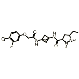 CCC1CC(C(=O)NC23CC(NC(=O)COc4ccc(Cl)c(F)c4)(C2)C3)N(C)N1